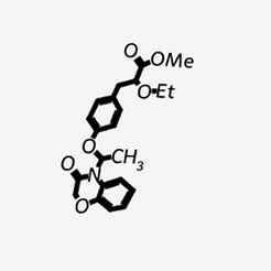 CCOC(Cc1ccc(OC(C)N2C(=O)COc3ccccc32)cc1)C(=O)OC